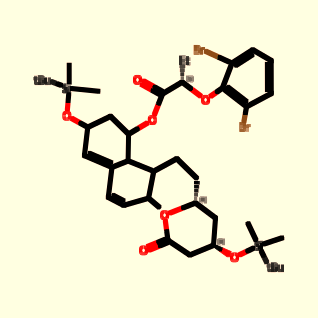 CC[C@H](Oc1c(Br)cccc1Br)C(=O)OC1CC(O[Si](C)(C)C(C)(C)C)C=C2C=CC(C)C(CC[C@@H]3C[C@@H](O[Si](C)(C)C(C)(C)C)CC(=O)O3)C21